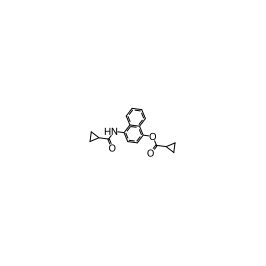 O=C(Nc1ccc(OC(=O)C2CC2)c2ccccc12)C1CC1